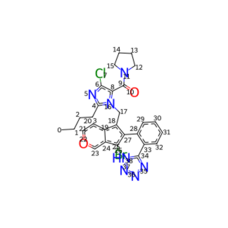 CCCCc1nc(Cl)c(C(=O)N2CCCC2)n1Cc1c2ccocc-2c(Br)c1-c1ccccc1-c1nnn[nH]1